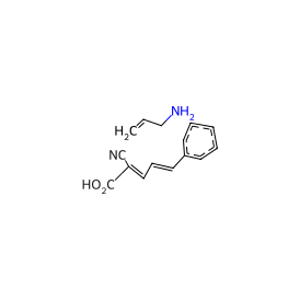 C=CCN.N#C/C(=C\C=C\c1ccccc1)C(=O)O